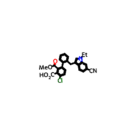 CCn1cc(Cc2ccccc2-c2ccc(Cl)c(C(=O)O)c2C(=O)OC)c2ccc(C#N)cc21